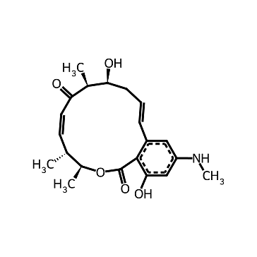 CNc1cc(O)c2c(c1)/C=C/C[C@H](O)[C@H](C)C(=O)/C=C\[C@@H](C)[C@H](C)OC2=O